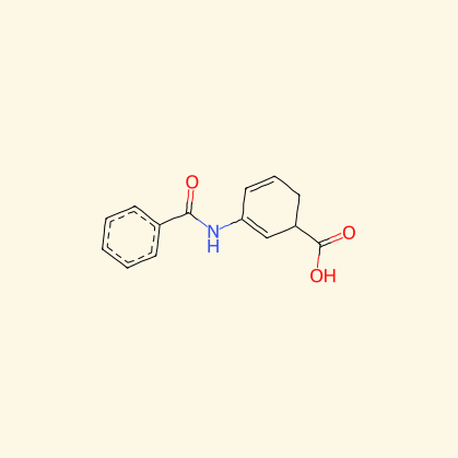 O=C(NC1=CC(C(=O)O)CC=C1)c1ccccc1